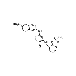 CS(=O)(=O)Nc1ncccc1CNc1nc(Nc2ccc3c(c2)CCN(C(=O)O)C3)ncc1Cl